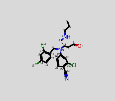 CCCNC[C@H](CC=O)N(Cc1ccc(F)cc1F)c1ccc(C#N)c(Cl)c1